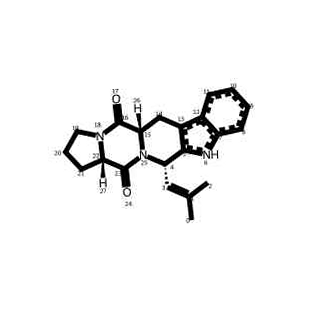 CC(C)=C[C@H]1c2[nH]c3ccccc3c2C[C@H]2C(=O)N3CCC[C@H]3C(=O)N21